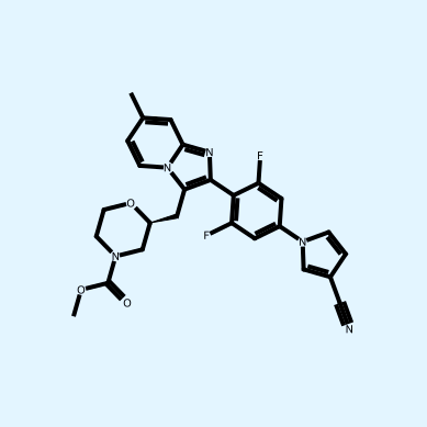 COC(=O)N1CCO[C@@H](Cc2c(-c3c(F)cc(-n4ccc(C#N)c4)cc3F)nc3cc(C)ccn23)C1